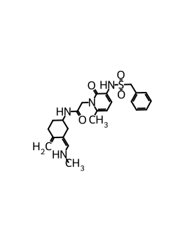 C=C1CCC(NC(=O)Cn2c(C)ccc(NS(=O)(=O)Cc3ccccc3)c2=O)C/C1=C/NC